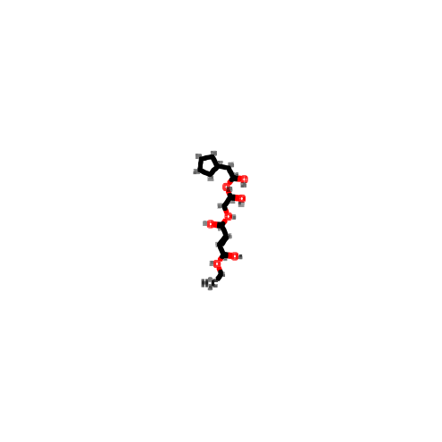 CCOC(=O)C=CC(=O)OCC(=O)OC(=O)CC1CCCC1